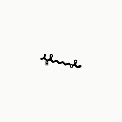 C=CC(=O)OCCCCCCC(=O)NC(C)C